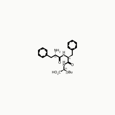 CC[C@H](C)[C@H](NC(=O)[C@H](Cc1ccccc1)NC(=O)[C@@H](N)Cc1ccccc1)C(=O)O